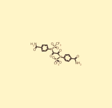 NC(=O)c1ccc(N(C(=O)C(=O)N(c2ccc(C(N)=O)cc2)S(=O)(=O)C(F)(F)F)S(=O)(=O)C(F)(F)F)cc1